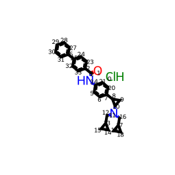 Cl.O=C(Nc1ccc(C2CC2N(CC2CC2)CC2CC2)cc1)c1ccc(-c2ccccc2)cc1